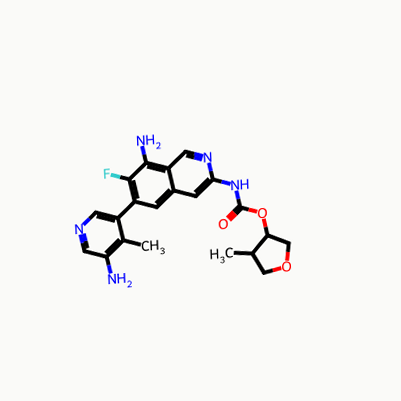 Cc1c(N)cncc1-c1cc2cc(NC(=O)OC3COCC3C)ncc2c(N)c1F